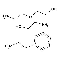 NCCO.NCCOCCO.NCCc1ccccc1